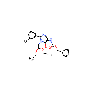 CCOC(Cn1c(-c2cccc(C)c2)ncc(NC(=O)OCc2ccccc2)c1=O)OCC